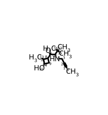 CC#CCN[C@H](C(=O)C1C[C@H](O)C1C)C(C)(C)C